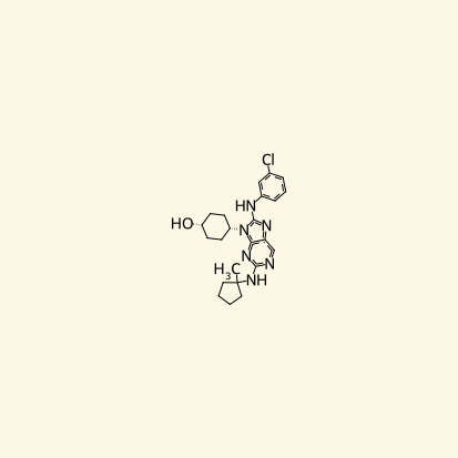 CC1(Nc2ncc3nc(Nc4cccc(Cl)c4)n([C@H]4CC[C@@H](O)CC4)c3n2)CCCC1